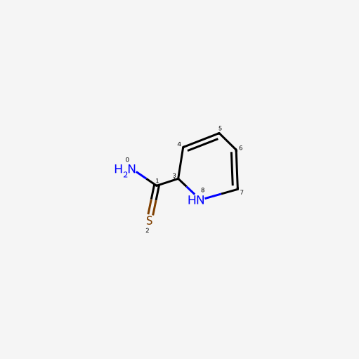 NC(=S)[C]1C=CC=CN1